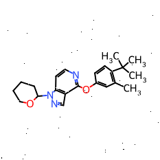 Cc1cc(Oc2nccc3c2cnn3C2CCCCO2)ccc1C(C)(C)C